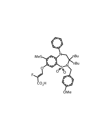 CCCCC1(CCCC)CN(c2ccccc2)c2cc(SC)c(OC=C(F)C(=O)O)cc2S(=O)(=O)N1Cc1ccc(OC)cc1